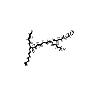 CCCCCCCCC(CCCCCC)C(=O)OCCCCCCN(CCCCO)CCCCCCOC=O